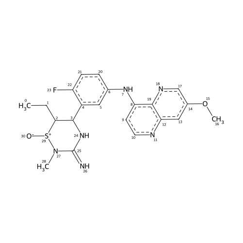 CCC1C(c2cc(Nc3ccnc4cc(OC)cnc34)ccc2F)NC(=N)N(C)[S+]1[O-]